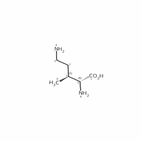 C[C@@H](CCN)[C@@H](N)C(=O)O